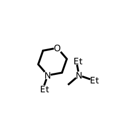 CCN(C)CC.CCN1CCOCC1